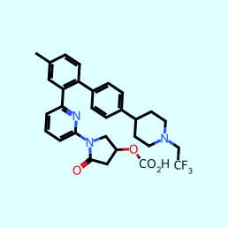 Cc1ccc(-c2ccc(C3CCN(CC(F)(F)F)CC3)cc2)c(-c2cccc(N3CC(OC(=O)O)CC3=O)n2)c1